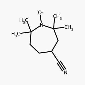 CC1(C)CCC(C#N)CC(C)(C)N1[O]